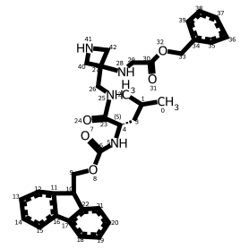 CC(C)C[C@H](NC(=O)OCC1c2ccccc2-c2ccccc21)C(=O)NCC1(NCC(=O)OCc2ccccc2)CNC1